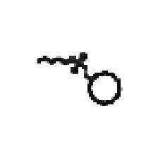 CCCCCOS(=O)(=O)CCC1CCCCCCCCCCC1